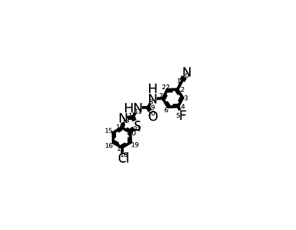 N#Cc1cc(F)cc(NC(=O)Nc2nc3ccc(Cl)cc3s2)c1